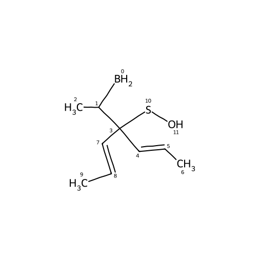 BC(C)C(C=CC)(C=CC)SO